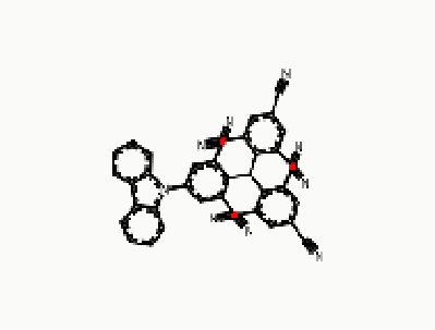 N#Cc1cc(C#N)c(C(c2c(C#N)cc(C#N)cc2C#N)c2c(C#N)cc(-n3c4ccccc4c4ccccc43)cc2C#N)c(C#N)c1